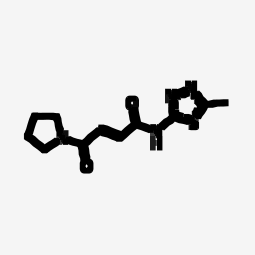 Cc1nnc(NC(=O)C=CC(=O)N2CCCC2)s1